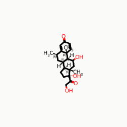 C[C@@H]1C[C@@H]2[C@H](C(O)C[C@@]3(C)[C@H]2CC[C@]3(O)C(=O)CO)[C@@]2(C)C=CC(=O)C=C12